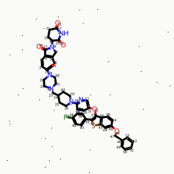 C=C(/C=C\C1=C(C)CN(C2CCC(=O)NC2=O)C1=O)N1CCN(CC2CCN(c3ccc(Oc4c(-c5ccc(F)cc5)sc5cc(OCc6ccccc6)ccc45)cn3)CC2)CC1